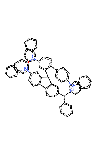 c1ccc(Nc2ccc3c(c2)C2(c4cc(C(c5ccccc5)c5ccccc5)ccc4-c4ccc(N(c5ccccc5)c5ccccc5)cc42)c2cc(N(c4ccccc4)c4ccccc4)ccc2-3)cc1